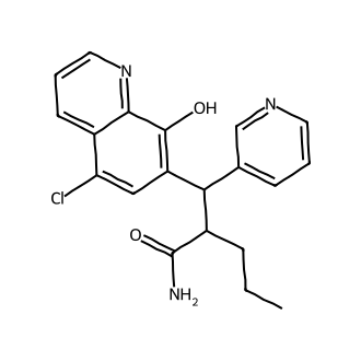 CCCC(C(N)=O)C(c1cccnc1)c1cc(Cl)c2cccnc2c1O